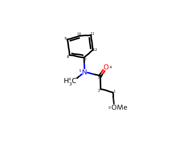 COCCC(=O)N(C)c1ccccc1